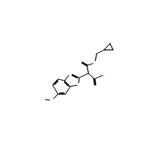 COc1ccc2nc(C(C(N)=O)C(=O)OCC3CC3)[nH]c2c1